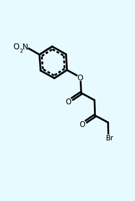 O=C(CBr)CC(=O)Oc1ccc([N+](=O)[O-])cc1